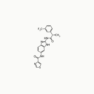 C[C@@H](C(=O)Nc1nc2ccc(NC(=O)c3cscn3)cc2[nH]1)c1cccc(C(F)(F)F)c1